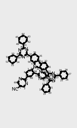 N#Cc1cnc(-c2ccc(-n3c4cc(-c5nc(-c6ccccc6)nc(-c6ccccc6)n5)ccc4c4ccc(-c5nc(-c6ccccc6)nc(-c6ccccc6)n5)cc43)c(-c3ncc(C#N)cn3)c2)nc1